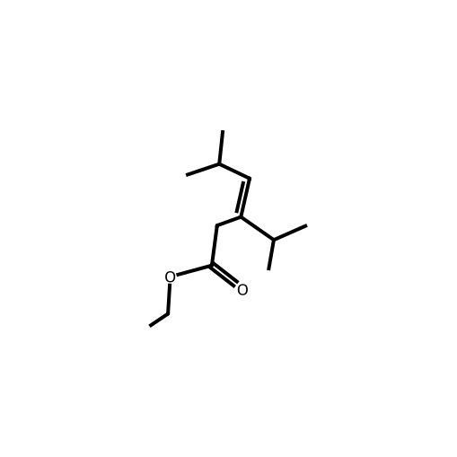 CCOC(=O)C/C(=C\C(C)C)C(C)C